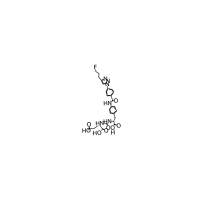 O=C(O)CC[C@H](NC(=O)N[C@@H](Cc1ccc(NC(=O)c2ccc(-n3cc(CCCF)nn3)cc2)cc1)C(=O)O)C(=O)O